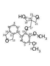 COc1ccc(-c2cccc3c2COC3)c(OCC2(CO)COC2)c1OC